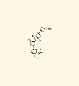 CC(C)n1nc(-c2cnc(N)c(OC(F)F)c2)cc1[C@H]1[C@@H]2C[C@@H](N3CC[C@H](CO)C3)C[C@@H]21